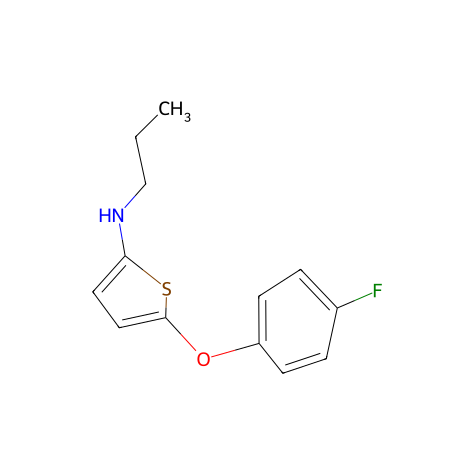 CCCNc1ccc(Oc2ccc(F)cc2)s1